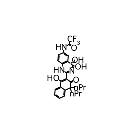 CCCC1(CCC)C(=O)C(C2=NS(O)(O)c3cc(NC(=O)C(F)(F)F)ccc3N2)=C(O)c2ccccc21